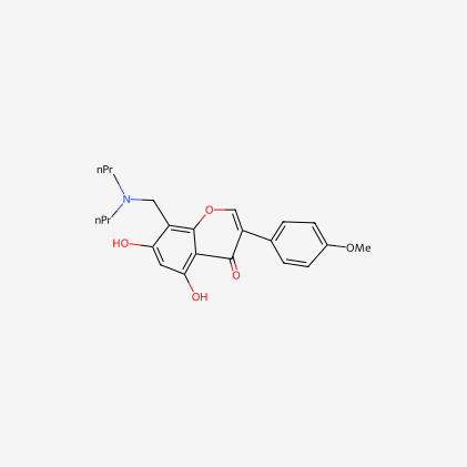 CCCN(CCC)Cc1c(O)cc(O)c2c(=O)c(-c3ccc(OC)cc3)coc12